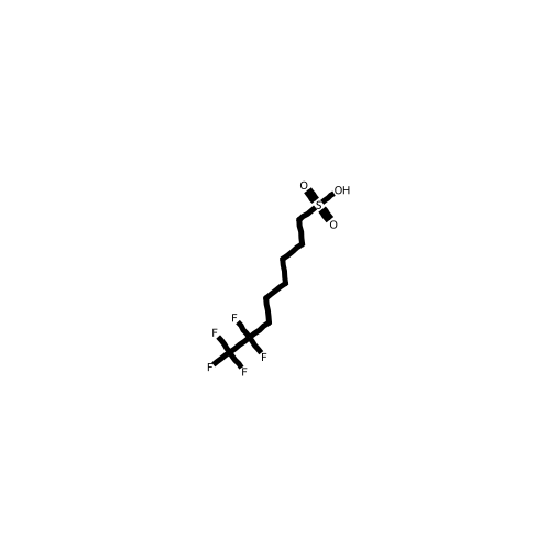 O=S(=O)(O)CCCCCCC(F)(F)C(F)(F)F